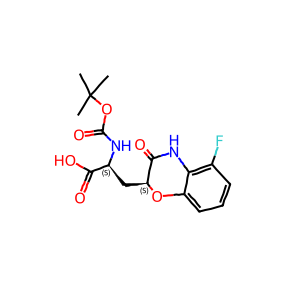 CC(C)(C)OC(=O)N[C@@H](C[C@@H]1Oc2cccc(F)c2NC1=O)C(=O)O